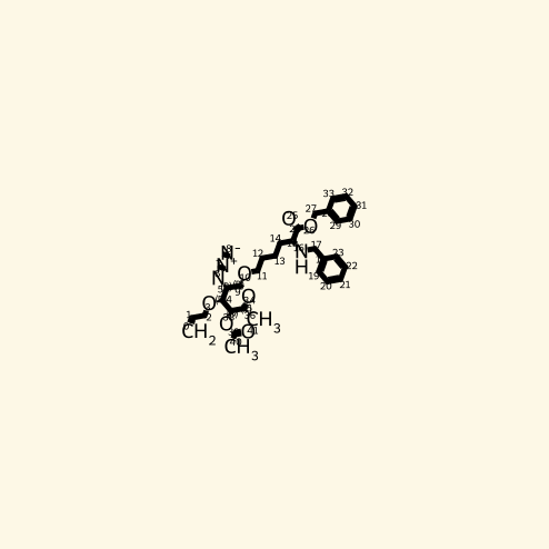 C=CCO[C@@H]1[C@@H](N=[N+]=[N-])[C@H](OCCCCC(NCc2ccccc2)C(=O)OCc2ccccc2)O[C@H](C)[C@H]1OC(C)=O